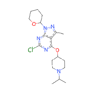 Cc1nn(C2CCCCO2)c2nc(Cl)nc(OC3CCN(C(C)C)CC3)c12